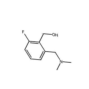 CN(C)Cc1cccc(F)c1[CH]O